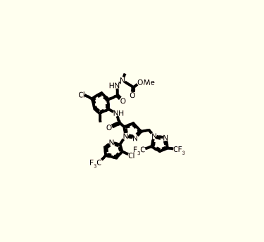 COC(=O)N(C)NC(=O)c1cc(Cl)cc(C)c1NC(=O)c1cc(Cn2nc(C(F)(F)F)cc2C(F)(F)F)nn1-c1ncc(C(F)(F)F)cc1Cl